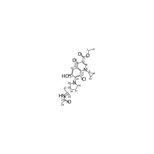 CCOC(=O)c1cn(C2CC2)c2c(Cl)c(N3CC[C@H](C(C)(C)NC(C)=O)C3)c(O)cc2c1=O